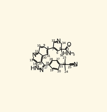 CNC(=O)C1(I)C=C(c2ccc3ncc4[nH]nc(-c5ccc(C(C)(C)C#N)cc5)c4c3c2)C=NC1